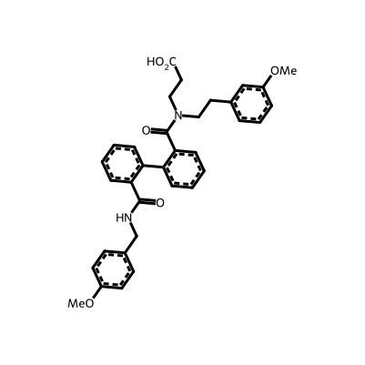 COc1ccc(CNC(=O)c2ccccc2-c2ccccc2C(=O)N(CCC(=O)O)CCc2cccc(OC)c2)cc1